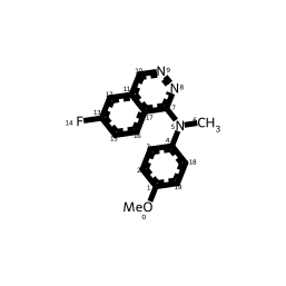 COc1ccc(N(C)c2nncc3cc(F)ccc23)cc1